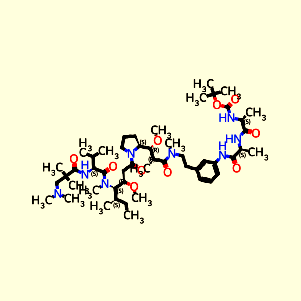 CC[C@H](C)[C@@H]([C@@H](CC(=O)N1CCC[C@H]1[C@H](OC)[C@@H](C)C(=O)N(C)CCc1cccc(NC(=O)[C@H](C)NC(=O)[C@H](C)NC(=O)OC(C)(C)C)c1)OC)N(C)C(=O)[C@@H](NC(=O)C(C)(C)CN(C)C)C(C)C